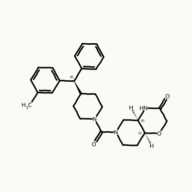 Cc1cccc([C@@H](c2ccccc2)C2CCN(C(=O)N3CC[C@@H]4OCC(=O)N[C@@H]4C3)CC2)c1